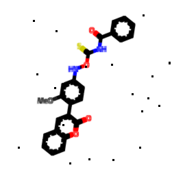 COc1cc(NOC(=S)NC(=O)c2ccccc2)ccc1-c1cc2ccccc2oc1=O